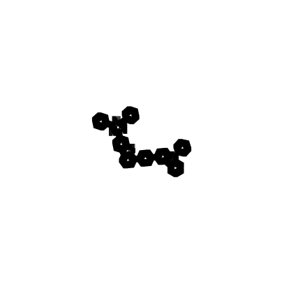 c1ccc(-c2nc(-c3ccccc3)nc(-c3ccc4c(c3)sc3c(-c5ccc(-c6ccc7c(c6)c6ccccc6n7-c6ccccc6)cc5)cccc34)n2)cc1